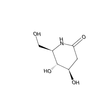 O=C1C[C@@H](O)[C@H](O)[C@@H](CO)N1